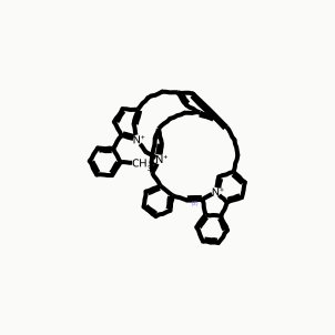 Cc1ccccc1-c1ccc2c[n+]1C[n+]1cc3ccc1-c1ccccc1/C=C1/c4ccccc4-c4ccc(c[n+]41)CCc1cc(cc(c1)CC3)CC2